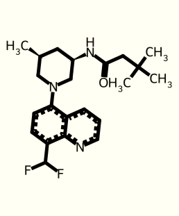 C[C@H]1C[C@@H](NC(=O)CC(C)(C)C)CN(c2ccc(C(F)F)c3ncccc23)C1